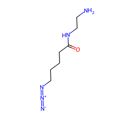 [N-]=[N+]=NCCCCC(=O)NCCN